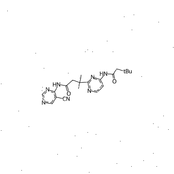 CC(C)(C)CC(=O)Nc1ccnc(C(C)(C)CC(=O)Nc2ncncc2C#N)n1